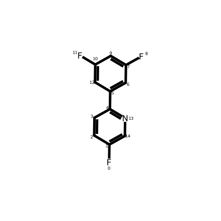 Fc1ccc(-c2cc(F)cc(F)c2)nc1